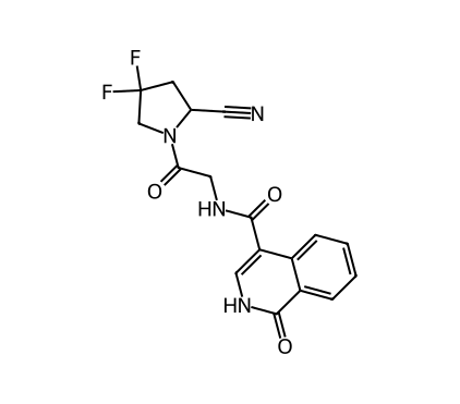 N#CC1CC(F)(F)CN1C(=O)CNC(=O)c1c[nH]c(=O)c2ccccc12